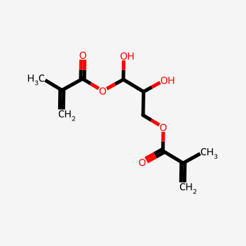 C=C(C)C(=O)OCC(O)C(O)OC(=O)C(=C)C